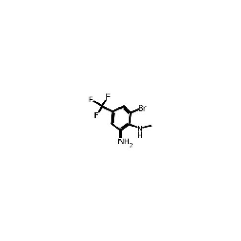 CNc1c(N)cc(C(F)(F)F)cc1Br